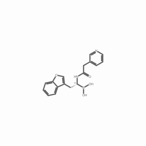 O=C(Cc1cccnc1)N[C@@H](Cc1coc2ccccc12)B(O)O